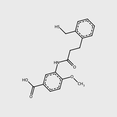 COc1ccc(C(=O)O)cc1NC(=O)CCc1ccccc1CS